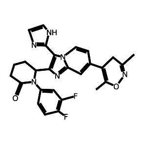 CC1=NOC(C)=C(c2ccn3c(-c4ncc[nH]4)c(C4CCCC(=O)N4c4ccc(F)c(F)c4)nc3c2)C1